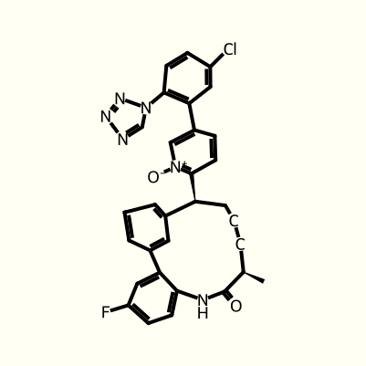 C[C@@H]1CCC[C@H](c2ccc(-c3cc(Cl)ccc3-n3cnnn3)c[n+]2[O-])c2cccc(c2)-c2cc(F)ccc2NC1=O